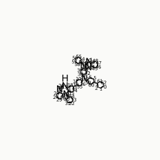 c1ccc(-c2ccc(N(c3ccc(-c4ccc5c(c4)[nH]cnc4ccccc4n5-c4ccccc4)cc3)c3ccc4c(c3)n3c5ccccc5nc3n4-c3ccccc3)cc2)cc1